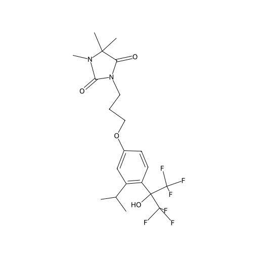 CC(C)c1cc(OCCCN2C(=O)N(C)C(C)(C)C2=O)ccc1C(O)(C(F)(F)F)C(F)(F)F